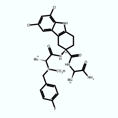 CC[C@H](C)C(NC(=O)[C@@]1(NC(=O)C([C@@H](C)CC)N(Cc2ccc(F)cc2)C(=O)O)CCc2[nH]c3c(Cl)cc(Cl)cc3c2C1)C(N)=O